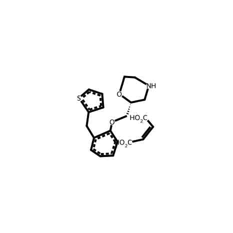 O=C(O)/C=C\C(=O)O.c1csc(Cc2ccccc2OC[C@H]2CNCCO2)c1